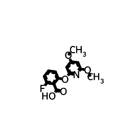 COc1cc(OC)nc(Oc2cccc(F)c2C(=O)O)c1